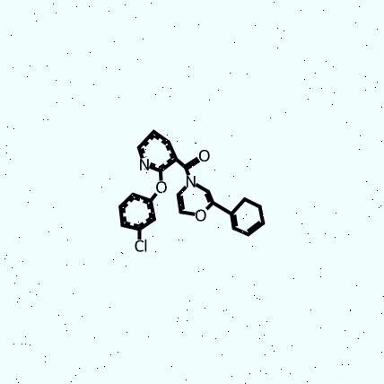 O=C(c1cccnc1Oc1cccc(Cl)c1)N1C=COC(C2=CC=CCC2)=C1